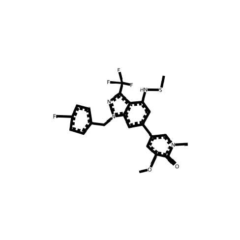 COc1cc(-c2cc(NSC)c3c(C(F)(F)F)nn(Cc4ccc(F)cc4)c3c2)cn(C)c1=O